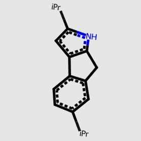 CC(C)c1ccc2c(c1)Cc1[nH]c(C(C)C)cc1-2